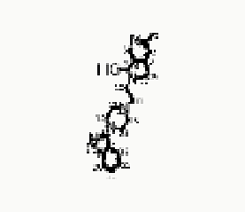 Cc1cc2c(cn1)C(O)N(CCN1CCN(c3noc4ccccc34)CC1)CC2